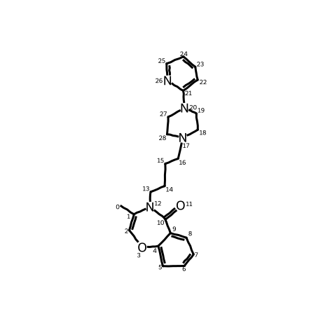 CC1=COc2ccccc2C(=O)N1CCCCN1CCN(c2ccccn2)CC1